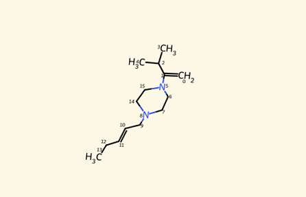 C=C(C(C)C)N1CCN(CC=CCC)CC1